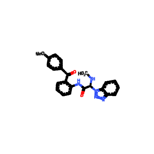 COc1ccc(C(=O)c2ccccc2NC(=O)C(NC(=O)O)n2nnc3ccccc32)cc1